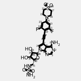 Nc1ncnc2c1c(C#Cc1c(F)cc(N3CCS(=O)(=O)CC3)cc1F)cn2[C@@H]1O[C@H](CNS(N)(=O)=O)[C@@H](O)[C@H]1O